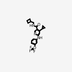 O=C(NCC1CCC1)c1cnc(Nc2cccc(OC(F)(F)F)c2)cc1C1CC1